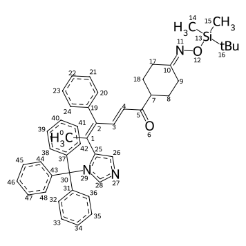 CC(=C(C=CC(=O)C1CCC(=NO[Si](C)(C)C(C)(C)C)CC1)c1ccccc1)c1cncn1C(c1ccccc1)(c1ccccc1)c1ccccc1